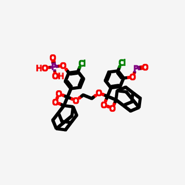 O=POc1cc(C2(OCCOC3(c4ccc(Cl)c(OP(=O)(O)O)c4)OOC34C3CC5CC(C3)CC4C5)OOC23C2CC4CC(C2)CC3C4)ccc1Cl